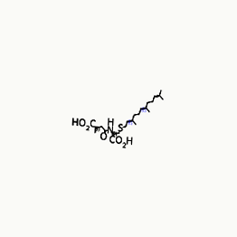 CC(C)=CCC/C(C)=C/CC/C(C)=C/CSC[C@H](NC(=O)C[C@H](C)C(=O)O)C(=O)O